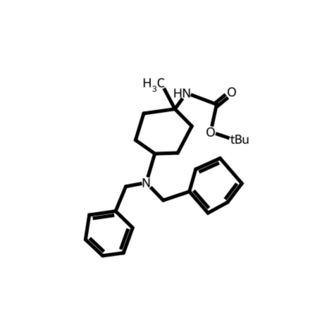 CC1(NC(=O)OC(C)(C)C)CCC(N(Cc2ccccc2)Cc2ccccc2)CC1